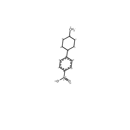 [CH2]C1CCC(c2ccc([N+](=O)[O-])cc2)CC1